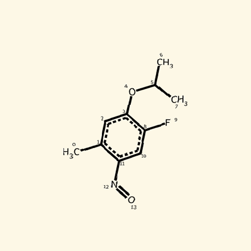 Cc1cc(OC(C)C)c(F)cc1N=O